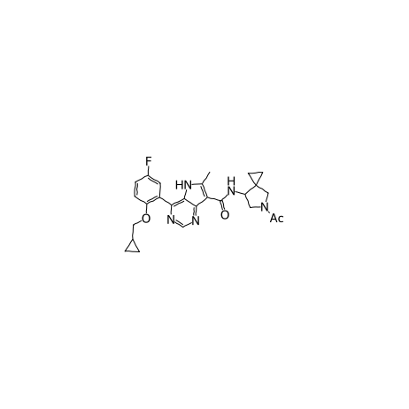 CC(=O)N1CC(NC(=O)c2c(C)[nH]c3c(-c4cc(F)ccc4OCC4CC4)ncnc23)C2(CC2)C1